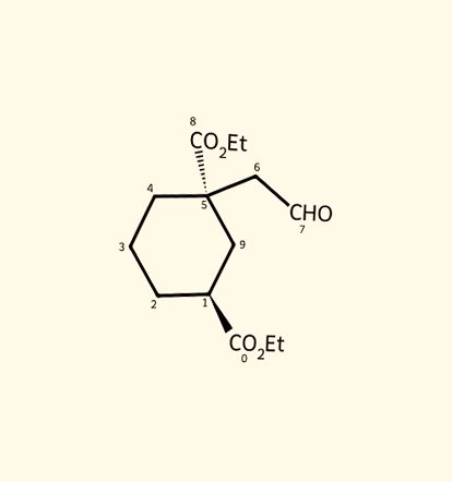 CCOC(=O)[C@H]1CCC[C@](CC=O)(C(=O)OCC)C1